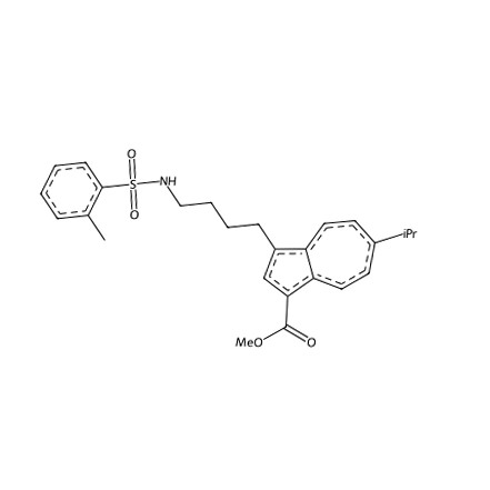 COC(=O)c1cc(CCCCNS(=O)(=O)c2ccccc2C)c2ccc(C(C)C)ccc1-2